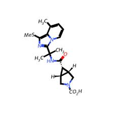 CSc1nc(C(C)(C)NC(=O)[C@@H]2[C@@H]3CN(C(=O)O)C[C@@H]32)n2cccc(C)c12